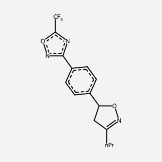 CCCC1=NOC(c2ccc(-c3noc(C(F)(F)F)n3)cc2)C1